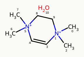 C[N+]1(C)C=C[N+](C)(C)CC1.O